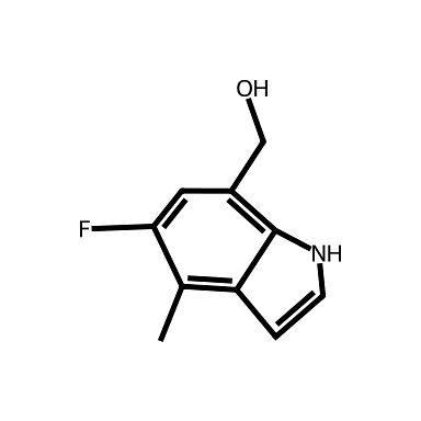 Cc1c(F)cc(CO)c2[nH]ccc12